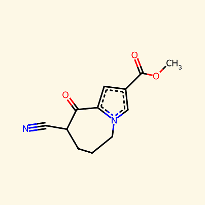 COC(=O)c1cc2n(c1)CCCC(C#N)C2=O